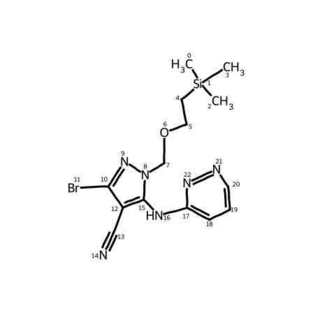 C[Si](C)(C)CCOCn1nc(Br)c(C#N)c1Nc1cccnn1